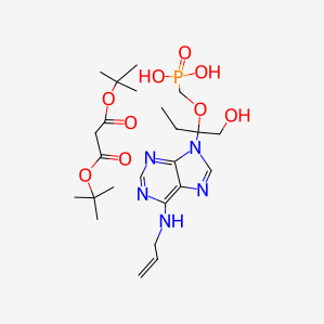 C=CCNc1ncnc2c1ncn2C(CC)(CO)OCP(=O)(O)O.CC(C)(C)OC(=O)CC(=O)OC(C)(C)C